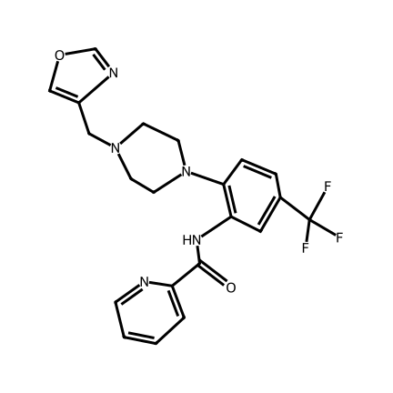 O=C(Nc1cc(C(F)(F)F)ccc1N1CCN(Cc2cocn2)CC1)c1ccccn1